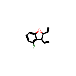 C=CC1Oc2cccc(Cl)c2C1C=C